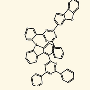 c1ccc(-c2nc(-c3ccc4c(c3)oc3ccccc34)nc(-c3ccccc3-n3c4ccccc4c4c(-c5nc(-c6ccccc6)nc(-c6ccccc6)n5)cccc43)n2)cc1